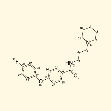 O=C(NCCCN1CCCCC1)c1ccc(Oc2ccc(F)cc2)cc1